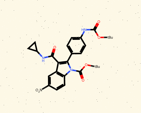 CC(C)(C)OC(=O)Nc1ccc(-c2c(C(=O)NC3CC3)c3cc([N+](=O)[O-])ccc3n2C(=O)OC(C)(C)C)cc1